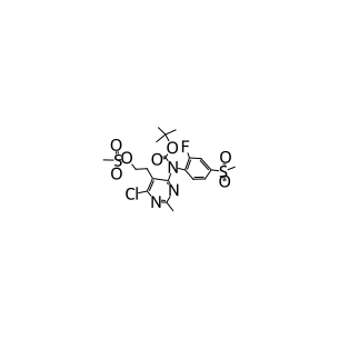 Cc1nc(Cl)c(CCOS(C)(=O)=O)c(N(C(=O)OC(C)(C)C)c2ccc(S(C)(=O)=O)cc2F)n1